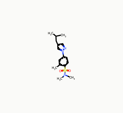 Cc1cc(-n2cc(CC(C)C)cn2)ccc1S(=O)(=O)N(C)C